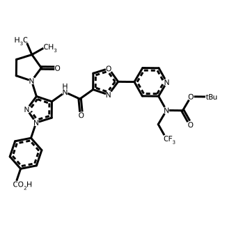 CC(C)(C)OC(=O)N(CC(F)(F)F)c1cc(-c2nc(C(=O)Nc3cn(-c4ccc(C(=O)O)cc4)nc3N3CCC(C)(C)C3=O)co2)ccn1